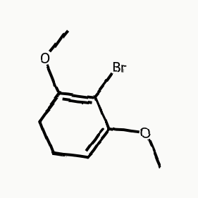 COC1=CCCC(OC)=C1Br